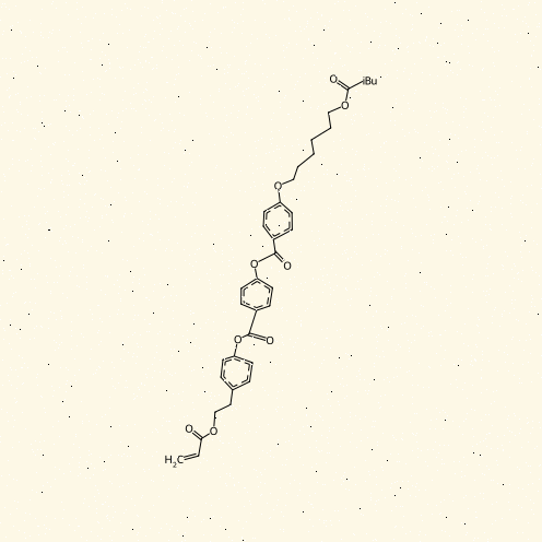 C=CC(=O)OCCc1ccc(OC(=O)c2ccc(OC(=O)c3ccc(OCCCCCCOC(=O)C(C)CC)cc3)cc2)cc1